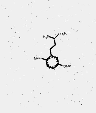 COc1ccc(OC)c(CC[C@@H](N)C(=O)O)c1